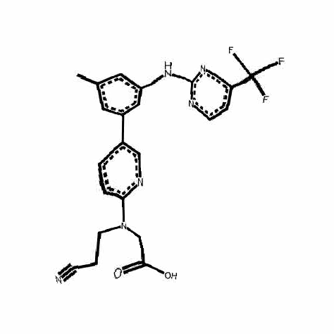 Cc1cc(Nc2nccc(C(F)(F)F)n2)cc(-c2ccc(N(CCC#N)CC(=O)O)nc2)c1